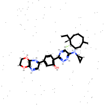 CC[C@]1(C)CCCC(C)C[C@H](N(c2cnc(-c3ccc(-c4cnc5c(n4)OCCO5)cc3O)nn2)C2CC2)[C@@H]1F